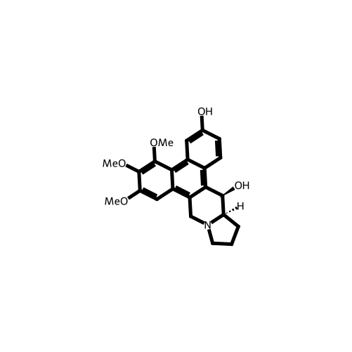 COc1cc2c3c(c4ccc(O)cc4c2c(OC)c1OC)[C@@H](O)[C@H]1CCCN1C3